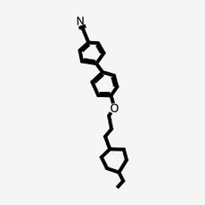 CCC1CCC(CCCOc2ccc(-c3ccc(C#N)cc3)cc2)CC1